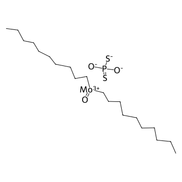 CCCCCCCCC[CH2][Mo+3](=[O])[CH2]CCCCCCCCC.[O-]P([O-])(=S)[S-]